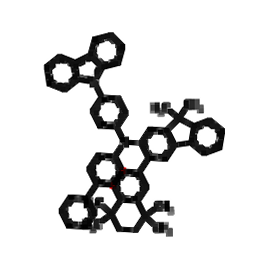 CC1(C)CCC(C)(C)c2cc(-c3cc4c(cc3N(c3ccc(-c5ccccc5)cc3)c3ccc(-n5c6ccccc6c6ccccc65)cc3)C(C)(C)c3ccccc3-4)ccc21